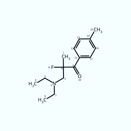 CCN(CC)CC(C)(F)C(=O)c1ccc(C)cc1